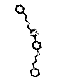 c1ccc(CCSCc2nnc(-c3ccc(OCCCN4CCCCC4)cc3)o2)cc1